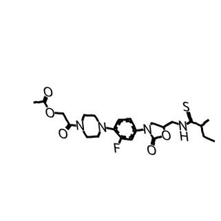 CCC(C)C(=S)NCC1CN(c2ccc(N3CCN(C(=O)COC(C)=O)CC3)c(F)c2)C(=O)O1